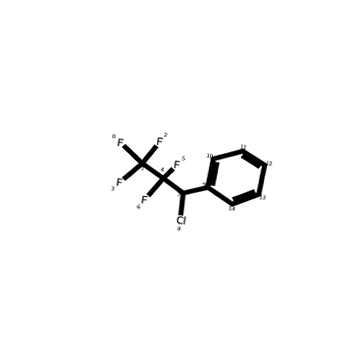 FC(F)(F)C(F)(F)C(Cl)c1ccccc1